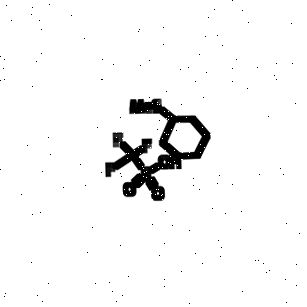 CSC1CCCCC1.O=S(=O)(O)C(F)(F)F